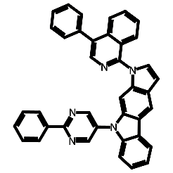 c1ccc(-c2ncc(-n3c4ccccc4c4cc5ccn(-c6ncc(-c7ccccc7)c7ccccc67)c5cc43)cn2)cc1